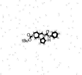 CC(C)(C)OC(=O)N1CCC(CN(C(=O)Nc2ccccc2)C2CCCC2)CC1